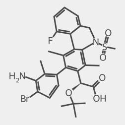 Cc1c(-c2c(C)c3c(c(C)c2[C@H](OC(C)(C)C)C(=O)O)N(S(C)(=O)=O)Cc2cccc(F)c2-3)ccc(Br)c1N